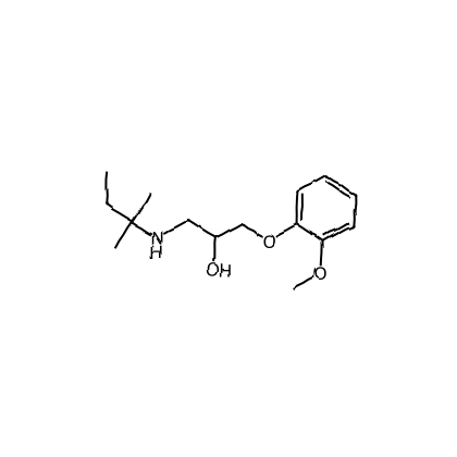 CCC(C)(C)NCC(O)COc1ccccc1OC